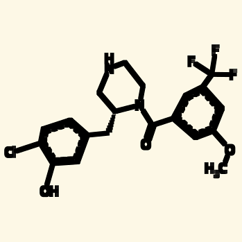 COc1cc(C(=O)N2CCNC[C@H]2Cc2ccc(Cl)c(O)c2)cc(C(F)(F)F)c1